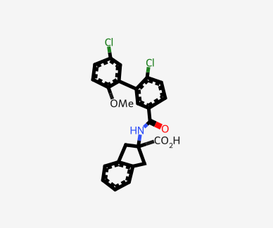 COc1ccc(Cl)cc1-c1cc(C(=O)NC2(C(=O)O)Cc3ccccc3C2)ccc1Cl